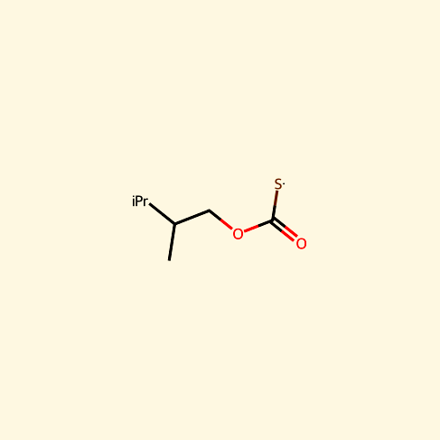 CC(C)C(C)COC(=O)[S]